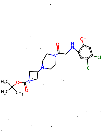 CC(C)(C)OC(=O)N1CC(N2CCN(C(=O)CNc3cc(Cl)c(Cl)cc3O)CC2)C1